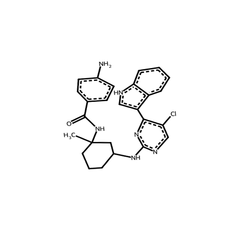 CC1(NC(=O)c2ccc(N)cc2)CCCC(Nc2ncc(Cl)c(-c3c[nH]c4ccccc34)n2)C1